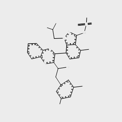 CS(=O)(=O)Nc1nn(CC(F)F)c2c(-c3nc4ccccc4nc3C(N)Cc3cc(F)cc(F)c3)ccc(Cl)c12